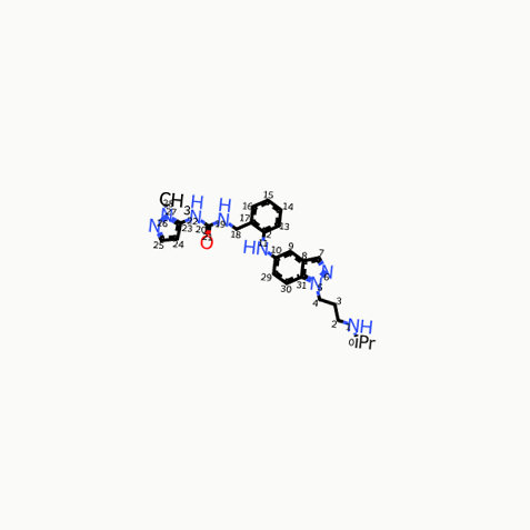 CC(C)NCCCn1ncc2cc(Nc3ccccc3CNC(=O)Nc3ccnn3C)ccc21